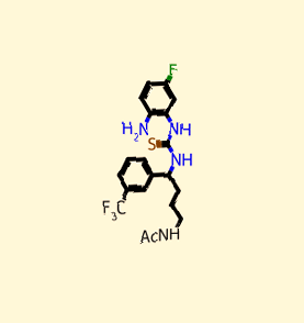 CC(=O)NCCCC(NC(=S)Nc1cc(F)ccc1N)c1cccc(C(F)(F)F)c1